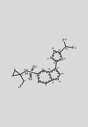 O=S(=O)(NC1(CF)CC1)c1ccc2ncc(-c3nnc(C(F)F)s3)n2c1